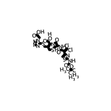 CC(C)(C)OC(=O)Nc1nc(C(C(=O)NC2C(=O)N3C(C(=O)O)=C(CSc4nnnn4CC(=O)O)CS[C@H]23)=C(Cl)Cl)cs1